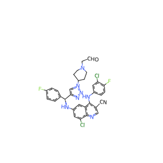 N#Cc1cnc2c(Cl)cc(N[C@@H](c3ccc(F)cc3)c3cn(C4CCN(CC=O)CC4)nn3)cc2c1Nc1ccc(F)c(Cl)c1